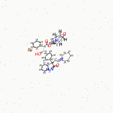 CCCC[N+]1(C)[C@@H]2C[C@@H](OC(=O)[C@H](CO)c3ccccc3)C[C@H]1[C@@H]1O[C@@H]12.NC(=O)C(CCN1CCCCCC1)(c1ccccc1)c1ccccc1.[Br-]